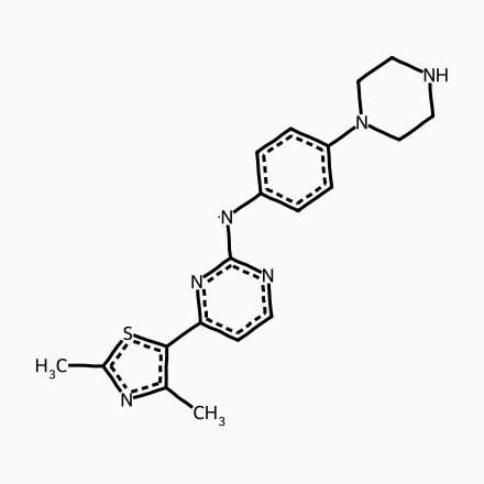 Cc1nc(C)c(-c2ccnc([N]c3ccc(N4CCNCC4)cc3)n2)s1